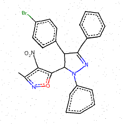 Cc1noc(C2C(c3ccc(Br)cc3)C(c3ccccc3)=NN2c2ccccc2)c1[N+](=O)[O-]